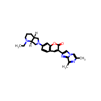 CCN1CCC[C@@H]2CN(c3ccc4cc(-c5cn6cc(C)nc(C)c6n5)c(=O)oc4c3)C[C@@H]21